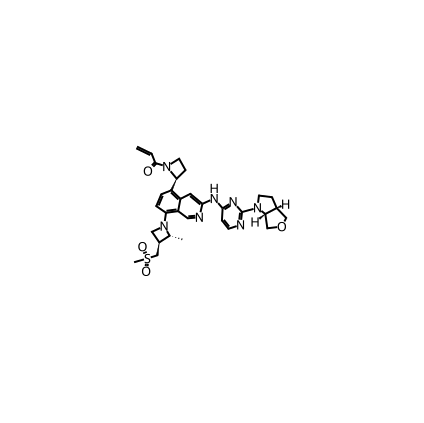 C=CC(=O)N1CC[C@H]1c1ccc(N2C[C@H](CS(C)(=O)=O)[C@H]2C)c2cnc(Nc3ccnc(N4CC[C@@H]5COC[C@@H]54)n3)cc12